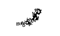 CC(C)(C)OC(=O)N1CC[C@H](CNc2ncnc3c2cnn3[C@H]2CCCCO2)C(F)(F)C1